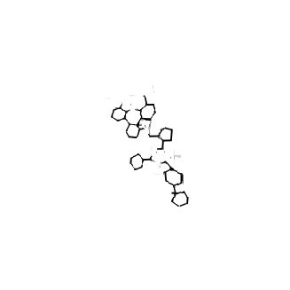 CCC1CCCC2C1NC1C(C)CCCC1C1CCCC(NCC3CCCC3C3NC(C4CCCCC4)NC(C4(C)CCC(C5(C)CCCCC5)CC4)N3)C12C